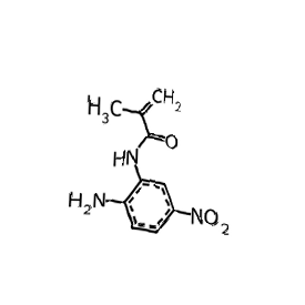 C=C(C)C(=O)Nc1cc([N+](=O)[O-])ccc1N